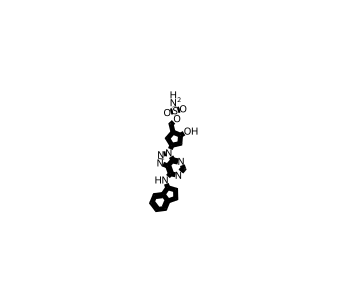 NS(=O)(=O)OCC1CC(n2nnc3c(NC4CCc5ccccc54)ncnc32)CC1O